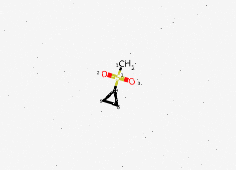 [CH2]S(=O)(=O)C1CC1